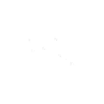 Cc1nc(C(C#N)=C2CCN(C(=O)OC(C)(C)C)CC2)sc1C